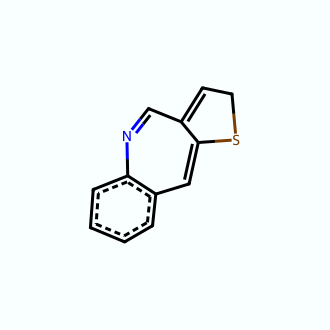 C1=Nc2ccccc2C=C2SCC=C12